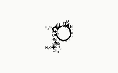 C[C@@H]1C[C@H]2C(=O)N[C@]3(C=O)C[C@H]3/C=C\CCCCC[C@H](NC(=O)OC(C)(C)C)C(=O)N2C1